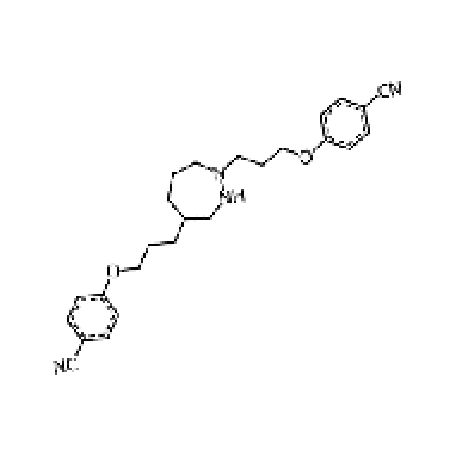 N#Cc1ccc(OCCCC2CCCN(CCCOc3ccc(C#N)cc3)NC2)cc1